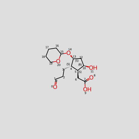 O=CCC[C@H]1[C@H](CC(=O)O)[C@H](O)C[C@@H]1OC1CCCCO1